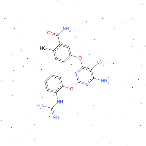 N#Cc1ccc(Oc2nc(Oc3ccccc3NC(=N)N)nc(N)c2N)cc1C(N)=O